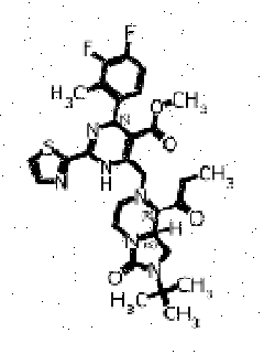 CCC(=O)[C@H]1[C@@H]2CN(C(C)(C)C)C(=O)N2CCN1CC1=C(C(=O)OC)[C@H](c2ccc(F)c(F)c2C)N=C(c2nccs2)N1